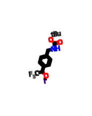 CC(C)(C)OC(=O)NCc1ccc(C(OI)C(F)(F)F)cc1